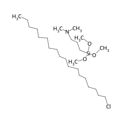 CCCCCCCCCCCCCCCCCCCl.CO[Si](CCCN(C)C)(OC)OC